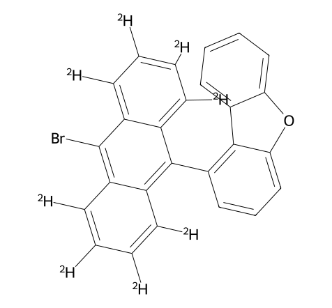 [2H]c1c([2H])c([2H])c2c(-c3cccc4oc5ccccc5c34)c3c([2H])c([2H])c([2H])c([2H])c3c(Br)c2c1[2H]